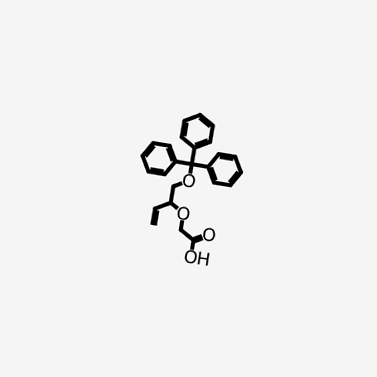 C=CC(COC(c1ccccc1)(c1ccccc1)c1ccccc1)OCC(=O)O